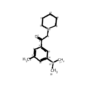 Cc1cc(C(=O)CN2CCCCC2)cc(N(C)C)c1